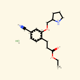 CCOC(=O)CCc1ccc(C#N)cc1OCC1CCCN1.Cl